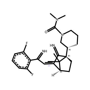 CN(C)C(=O)N1CCC[C@H]([C@@]23CC[C@@H](/C(=C/C(=N)c4c(F)cccc4F)C2=N)C3(C)C)C1